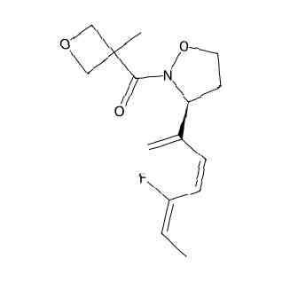 C=C(/C=C\C(F)=C/C)[C@@H]1CCON1C(=O)C1(C)COC1